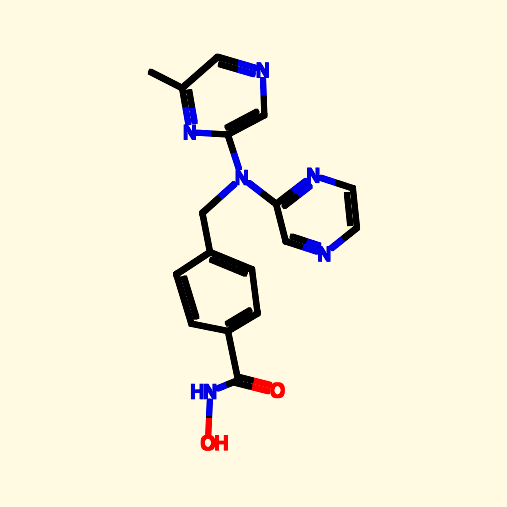 Cc1cncc(N(Cc2ccc(C(=O)NO)cc2)c2cnccn2)n1